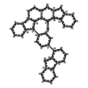 O=c1c2c(ccc3c4ccccc4n(-c4ccc(-c5cccc6c5oc5ccccc56)cc4)c32)oc2nc3ccccc3n12